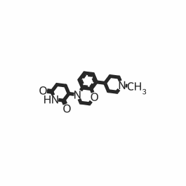 CN1CCC(c2cccc3c2OCCN3C2CCC(=O)NC2=O)CC1